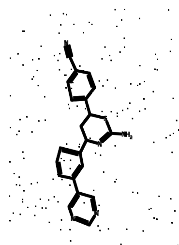 N#Cc1ccc(C2CC(c3cccc(-c4cncnc4)c3)N=C(N)S2)cc1